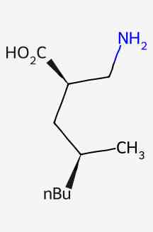 CCCC[C@H](C)C[C@H](CN)C(=O)O